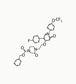 O=C1CN(C(=O)OCc2ccccc2)CCN1CCOc1cc(=O)n(-c2ccc(OC(F)(F)F)cc2)cc1-c1ccc(F)cc1